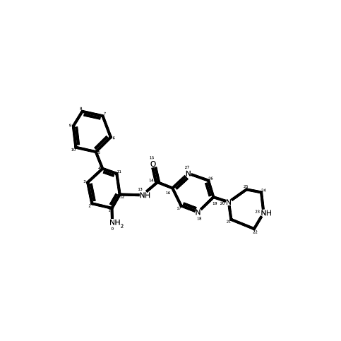 Nc1ccc(-c2ccccc2)cc1NC(=O)c1cnc(N2CCNCC2)cn1